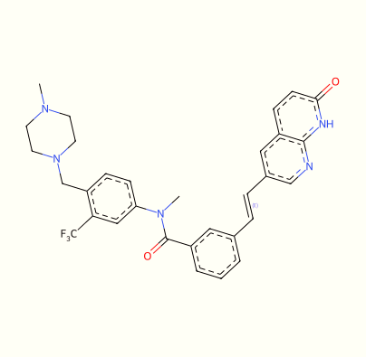 CN1CCN(Cc2ccc(N(C)C(=O)c3cccc(/C=C/c4cnc5[nH]c(=O)ccc5c4)c3)cc2C(F)(F)F)CC1